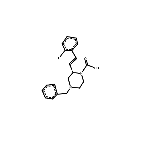 O=C(O)N1CCN(Cc2ccccc2)C[C@H]1C=Cc1ccccc1F